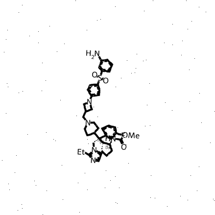 CCc1nccn1C[C@@](c1cccc(F)c1)(C1CCN(CC2CN(c3ccc(S(=O)(=O)c4cccc(N)c4)cc3)C2)CC1)[C@H]1CCC[C@@H]1NC(=O)OC